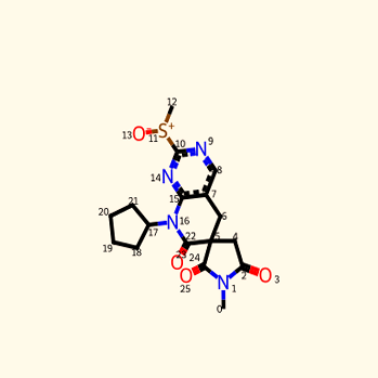 CN1C(=O)CC2(Cc3cnc([S+](C)[O-])nc3N(C3CCCC3)C2=O)C1=O